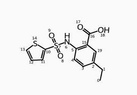 CCc1ccc(NS(=O)(=O)c2cccs2)c(C(=O)O)c1